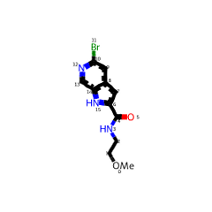 COCCNC(=O)c1cc2cc(Br)ncc2[nH]1